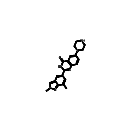 Cc1cc(-c2nc3ccc(N4CCNCC4)cc3c(=O)[nH]2)cc2cn(C)nc12